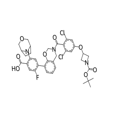 CC(C)(C)OC(=O)N1CC(Oc2cc(Cl)c(C(=O)N3COc4c(cccc4-c4cc(N5C6CCC5COC6)c(C(=O)O)cc4F)C3)c(Cl)c2)C1